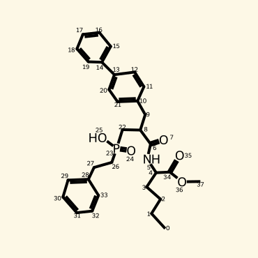 CCCCC(NC(=O)C(Cc1ccc(-c2ccccc2)cc1)CP(=O)(O)CCc1ccccc1)C(=O)OC